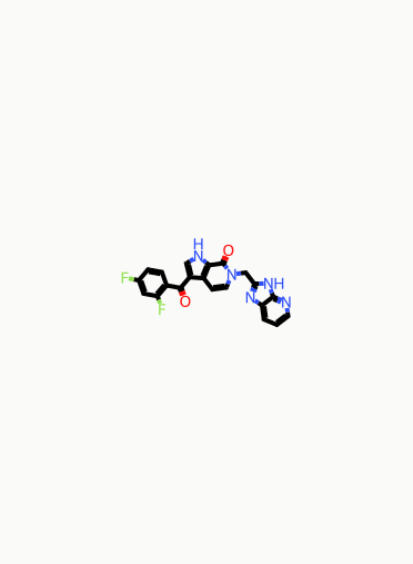 O=C(c1ccc(F)cc1F)c1c[nH]c2c(=O)n(Cc3nc4cccnc4[nH]3)ccc12